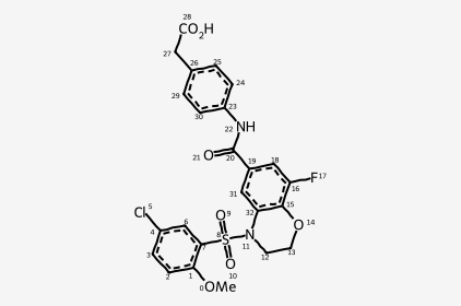 COc1ccc(Cl)cc1S(=O)(=O)N1CCOc2c(F)cc(C(=O)Nc3ccc(CC(=O)O)cc3)cc21